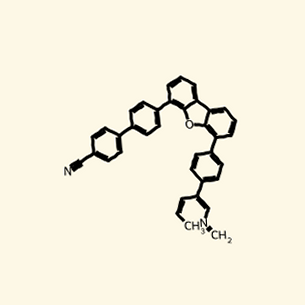 C=N/C=C(\C=C/C)c1ccc(-c2cccc3c2oc2c(-c4ccc(-c5ccc(C#N)cc5)cc4)cccc23)cc1